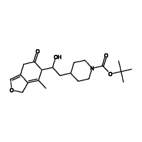 CC1=C2COC=C2CC(=O)C1C(O)CC1CCN(C(=O)OC(C)(C)C)CC1